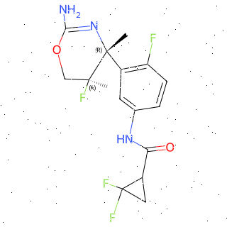 C[C@]1(F)COC(N)=N[C@]1(C)c1cc(NC(=O)C2CC2(F)F)ccc1F